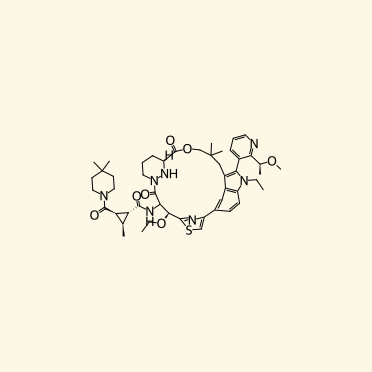 CCO[C@@H]1c2nc(cs2)-c2ccc3c(c2)c(c(-c2cccnc2[C@H](C)OC)n3CC)CC(C)(C)COC(=O)[C@@H]2CCCN(N2)C(=O)C1NC(=O)[C@@H]1[C@@H](C)[C@H]1C(=O)N1CCC(C)(C)CC1